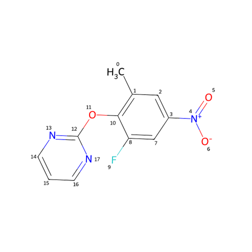 Cc1cc([N+](=O)[O-])cc(F)c1Oc1ncccn1